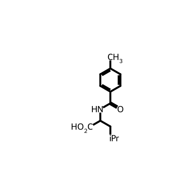 Cc1ccc(C(=O)NC(CC(C)C)C(=O)O)cc1